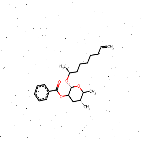 C=CCCCCC[C@H](C)O[C@@H]1OC(C)[C@H](C)CC1OC(=O)c1ccccc1